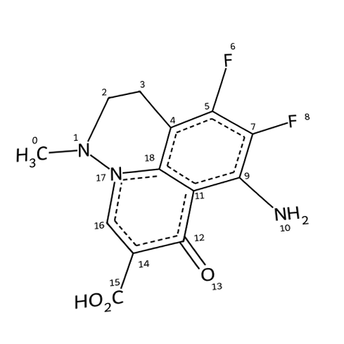 CN1CCc2c(F)c(F)c(N)c3c(=O)c(C(=O)O)cn1c23